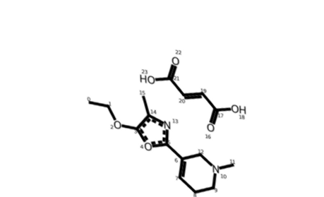 CCOc1oc(C2=CCCN(C)C2)nc1C.O=C(O)C=CC(=O)O